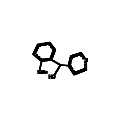 CNc1ccccc1C(O)c1ccncc1